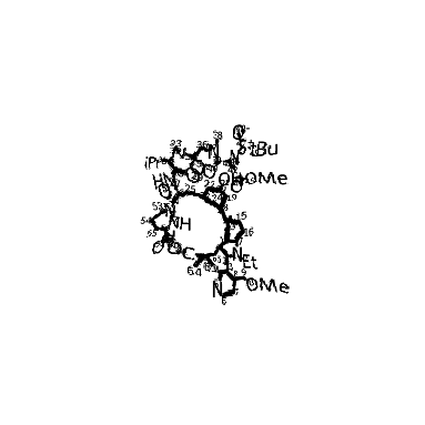 CCn1c(-c2cnccc2COC)c2c3cc(ccc31)-c1cc(O)cc(c1)C[C@H](NC(=O)C(C(C)C)N(C)C(=O)CN(C)C(=O)[C@H]1[C@@H](C(=O)OC)N1[S@+]([O-])C(C)(C)C)C(=O)N1CCC[C@H](N1)C(=O)OCC(C)(C)C2